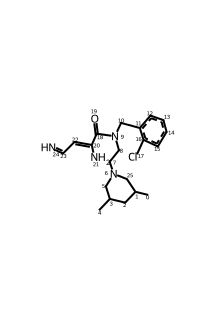 CC1CC(C)CN(CCN(Cc2ccccc2Cl)C(=O)/C(N)=C/C=N)C1